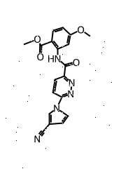 COC(=O)c1ccc(OC)cc1NC(=O)c1ccc(-n2ccc(C#N)c2)nn1